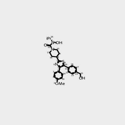 COc1ccc(-c2nc(C3CCN(C(=O)N(O)C(C)C)CC3)sc2-c2ccc(CO)cc2)cc1